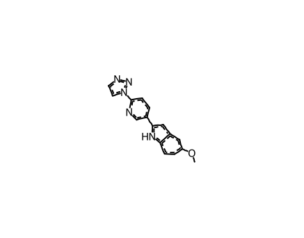 COc1ccc2[nH]c(-c3ccc(-n4ccnn4)nc3)cc2c1